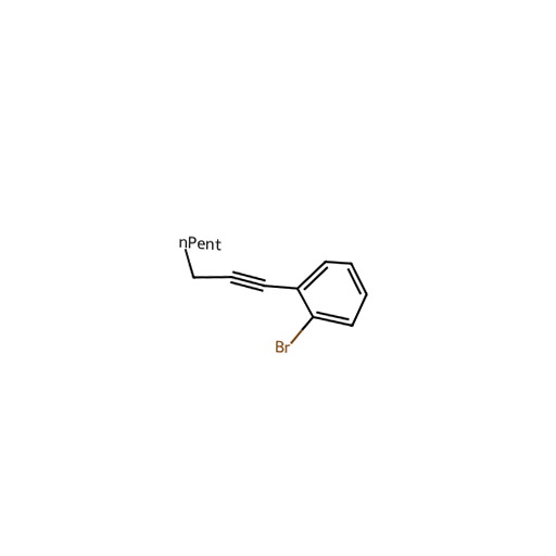 CCCCCCC#Cc1ccccc1Br